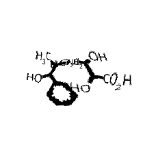 CC(N)C(O)c1ccccc1.O=C(O)C(O)C(O)C(=O)O